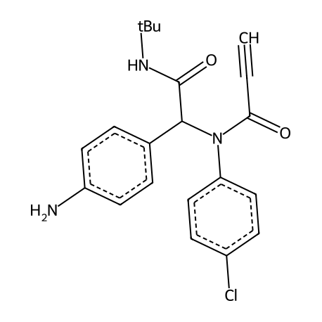 C#CC(=O)N(c1ccc(Cl)cc1)C(C(=O)NC(C)(C)C)c1ccc(N)cc1